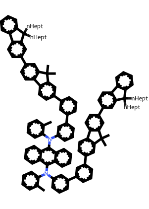 CCCCCCCC1(CCCCCCC)c2ccccc2-c2ccc(-c3ccc4c(c3)C(C)(C)c3cc(-c5cccc(-c6cccc(N(c7ccccc7C)c7c8ccccc8c(N(c8cccc(-c9cccc(-c%10ccc%11c(c%10)C(C)(C)c%10cc(-c%12ccc%13c(c%12)C(CCCCCCC)(CCCCCCC)c%12ccccc%12-%13)ccc%10-%11)c9)c8)c8ccccc8C)c8ccccc78)c6)c5)ccc3-4)cc21